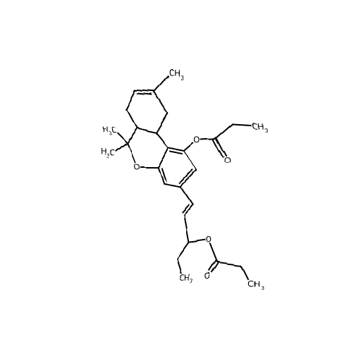 CCC(=O)Oc1cc(C=CC(CC)OC(=O)CC)cc2c1C1CC(C)=CCC1C(C)(C)O2